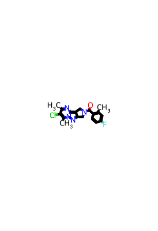 Cc1cc(F)ccc1C(=O)N1Cc2nn3c(C)c(Cl)c(C)nc3c2C1